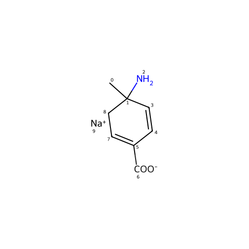 CC1(N)C=CC(C(=O)[O-])=CC1.[Na+]